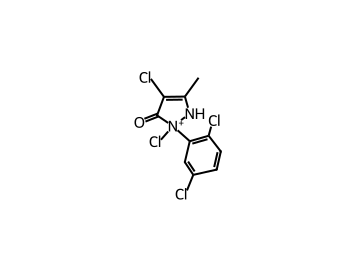 CC1=C(Cl)C(=O)[N+](Cl)(c2cc(Cl)ccc2Cl)N1